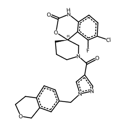 O=C1Nc2ccc(Cl)c(F)c2[C@@]2(CCCN(C(=O)c3cnn(Cc4ccc5c(c4)COCC5)c3)C2)O1